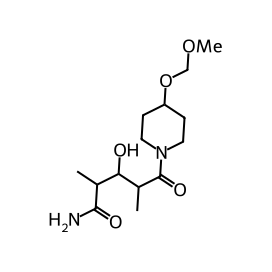 COCOC1CCN(C(=O)C(C)C(O)C(C)C(N)=O)CC1